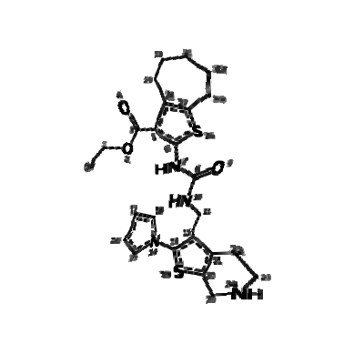 CCOC(=O)c1c(NC(=O)NCc2c(-n3cccc3)sc3c2CCNC3)sc2c1CCCCC2